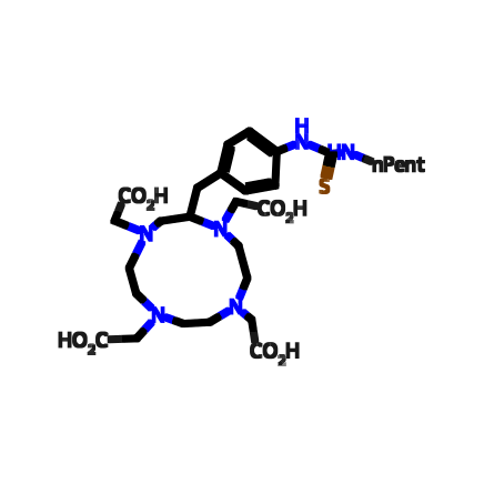 CCCCCNC(=S)Nc1ccc(CC2CN(CC(=O)O)CCN(CC(=O)O)CCN(CC(=O)O)CCN2CC(=O)O)cc1